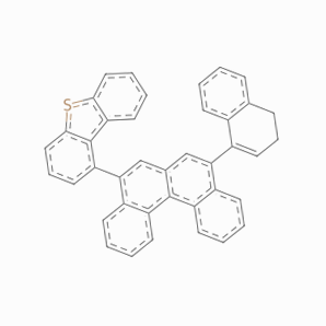 C1=C(c2cc3cc(-c4cccc5sc6ccccc6c45)c4ccccc4c3c3ccccc23)c2ccccc2CC1